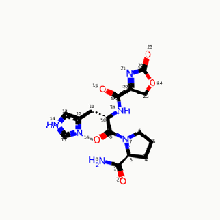 NC(=O)[C@@H]1CCCN1C(=O)[C@H](Cc1c[nH]cn1)NC(=O)C1=NC(=O)OC1